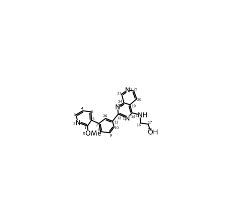 COc1ncccc1-c1cccc(-c2nc(NCCO)c3ccncc3n2)c1